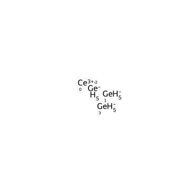 [Ce+3].[GeH5-].[GeH5-].[GeH5-]